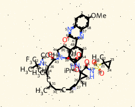 COc1ccc2nc(O[C@@H]3C[C@H]4C(=O)N[C@]5(C(=O)NS(=O)(=O)C6(C)CC6)C[C@H]5/C=C\CC[C@@H](C)C[C@@H](C)[C@H](N(C(=O)O)C(C)(C)C(F)(F)F)C(=O)N4C3)c(-c3ccc(OC(C)C)cc3)nc2c1